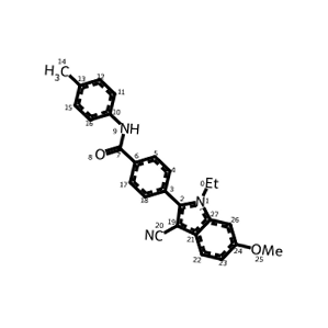 CCn1c(-c2ccc(C(=O)Nc3ccc(C)cc3)cc2)c(C#N)c2ccc(OC)cc21